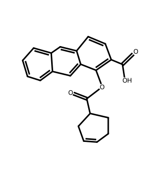 O=C(O)c1ccc2cc3ccccc3cc2c1OC(=O)C1CC=CCC1